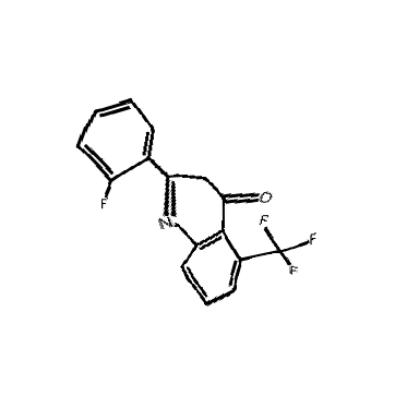 O=C1CC(c2ccccc2F)=Nc2cccc(C(F)(F)F)c21